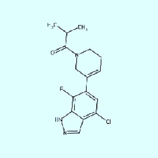 CC(C)C(=O)N1CCC=C(c2cc(Cl)c3cn[nH]c3c2F)C1